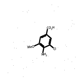 COc1cc(C(=O)O)cc(Cl)c1N